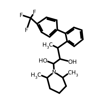 CC(c1ccccc1-c1ccc(C(F)(F)F)cc1)C(O)C(O)N1C(C)CCCC1C